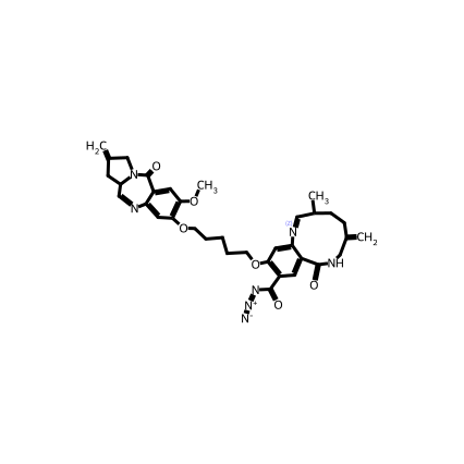 C=C1CCC(C)/C=N\c2cc(OCCCCCOc3cc4c(cc3OC)C(=O)N3CC(=C)CC3C=N4)c(C(=O)N=[N+]=[N-])cc2C(=O)NC1